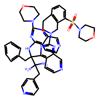 NC(N)(Cc1ccncc1)C(Cc1ccccc1)(Nc1nc(N2CCOCC2)nc2cnccc12)c1nc(N2CCc3cccc(S(=O)(=O)N4CCOCC4)c3C2)nc2cnccc12